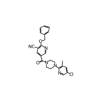 Cc1cc(Cl)cnc1N1CCN(C(=O)c2cnc(OCc3ccccc3)c(C#N)c2)CC1